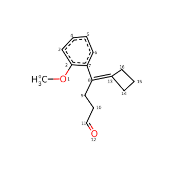 COc1ccccc1C(CCC=O)=C1CCC1